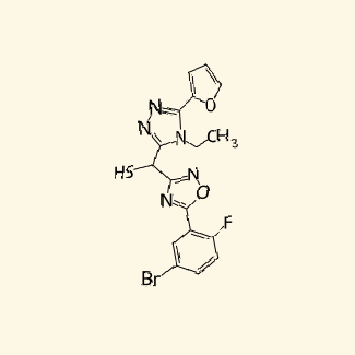 CCn1c(-c2ccco2)nnc1C(S)c1noc(-c2cc(Br)ccc2F)n1